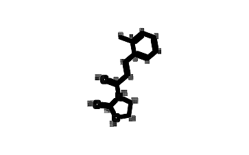 Cc1ccccc1C=CC(=O)N1CCOC1=O